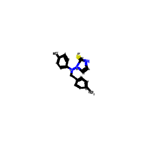 N#Cc1ccc(N(Cc2ccc(C(F)(F)F)cc2)n2cc[nH]c2=S)cc1